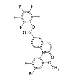 COc1cc(Br)c(F)cc1-n1c(=O)ccc2cc(S(=O)Oc3c(F)c(F)c(F)c(F)c3F)ccc21